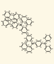 c1ccc(N(c2ccccc2)c2ccc(N3c4ccc(-c5ccc(N(c6ccc7c(c6)C6(c8ccccc8-c8ccccc86)c6ccccc6-7)c6cccc7ccccc67)cc5)cc4-c4cccc5cccc3c45)cc2)cc1